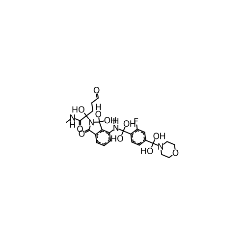 CNC(=O)C(O)(CCC=O)N1C(=O)c2cccc(NC(O)(O)c3ccc(C(O)(O)N4CCOCC4)cc3F)c2C1(O)O